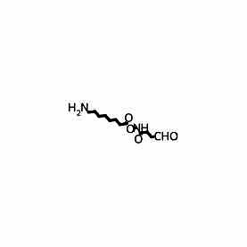 NCCCCCCCC(=O)ONC(=O)CCC=O